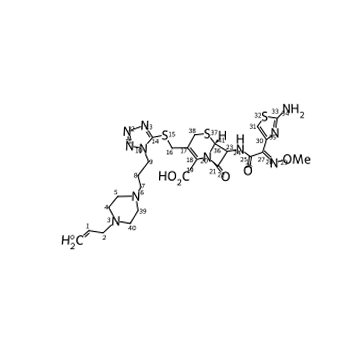 C=CCN1CCN(CCCn2nnnc2SCC2=C(C(=O)O)N3C(=O)C(NC(=O)/C(=N/OC)c4csc(N)n4)[C@H]3SC2)CC1